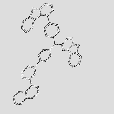 c1cc(-c2ccc(N(c3ccc(-c4cccc5sc6ccccc6c45)cc3)c3ccc4sc5ccccc5c4c3)cc2)cc(-c2cccc3ccccc23)c1